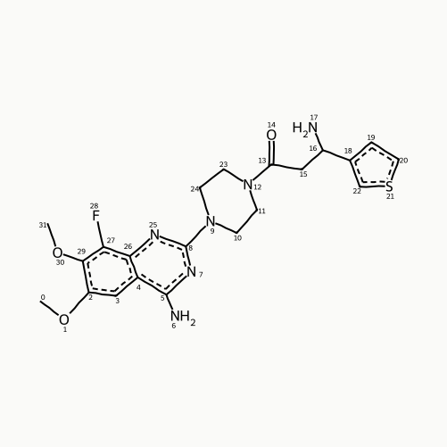 COc1cc2c(N)nc(N3CCN(C(=O)CC(N)c4ccsc4)CC3)nc2c(F)c1OC